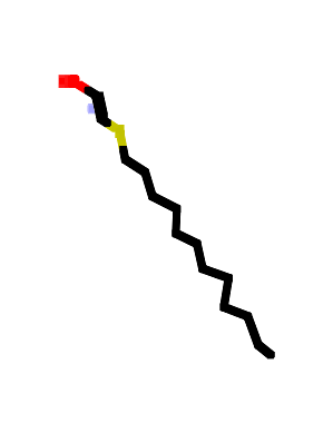 CCCCCCCCCCCCS/C=C/O